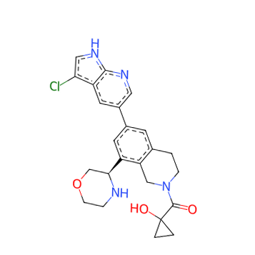 O=C(N1CCc2cc(-c3cnc4[nH]cc(Cl)c4c3)cc([C@@H]3COCCN3)c2C1)C1(O)CC1